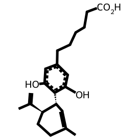 C=C(C)[C@@H]1CCC(C)=C[C@H]1c1c(O)cc(CCCCCC(=O)O)cc1O